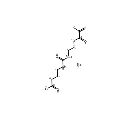 C=C(C)C(=O)OCCNC(=O)NCCCC(=O)[O-].[Na+]